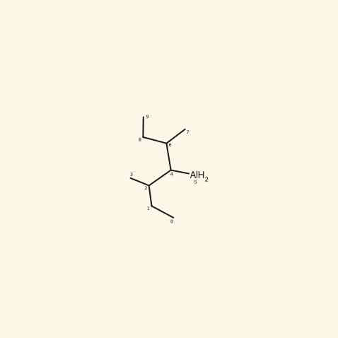 CCC(C)[CH]([AlH2])C(C)CC